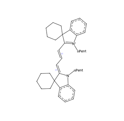 CCCCCN1/C(=C\C=C\C2=[N+](CCCCC)c3ccccc3C23CCCCC3)C2(CCCCC2)c2ccccc21